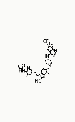 C=CC(=O)Nc1ncc(CCn2c(C#N)cc3c(C)c(CN4CCC(Nc5ncnc6sc(CC(F)(F)F)cc56)CC4)ccc32)cc1C